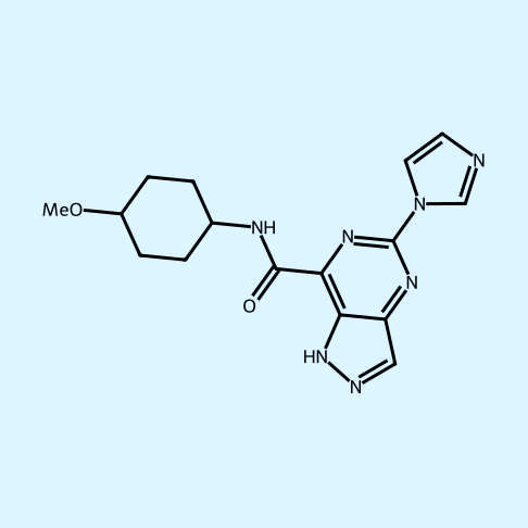 COC1CCC(NC(=O)c2nc(-n3ccnc3)nc3cn[nH]c23)CC1